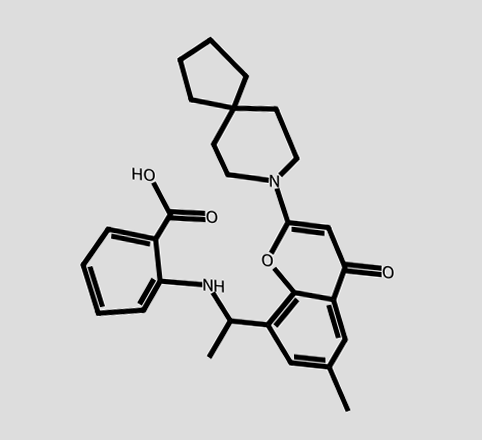 Cc1cc(C(C)Nc2ccccc2C(=O)O)c2oc(N3CCC4(CCCC4)CC3)cc(=O)c2c1